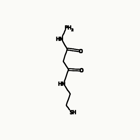 O=C(CC(=O)NCCS)NP